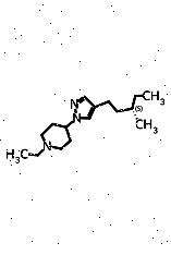 CC[C@H](C)CCc1cnn(C2CCN(CC)CC2)c1